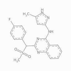 Cc1cc(Nc2nc(C(c3ccc(F)cc3)S(C)(=O)=O)nc3ccccc23)n[nH]1